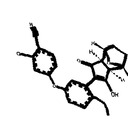 CCc1ccc(Oc2ccc(C#N)c(Cl)c2)cc1C1=C(O)[C@H]2[C@@H](C1=O)[C@@H]1CC[C@H]2O1